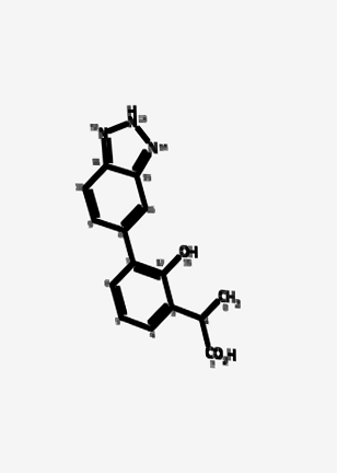 CC(C(=O)O)c1cccc(-c2ccc3n[nH]nc3c2)c1O